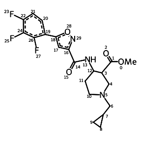 COC(=O)C1CN(CC2CC2)CCC1NC(=O)c1cc(-c2ccc(F)c(F)c2F)on1